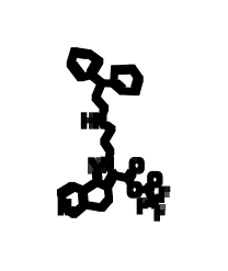 O=C(OC(=O)C(F)(F)F)c1c2c(nn1CCCNCCC(c1ccccc1)c1ccccc1)-c1ccncc1CC2